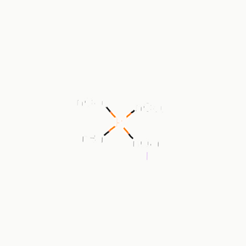 CCCCCCCC[P+](CCCC)(CCCCCCCC)CCCCCCCC.[I-]